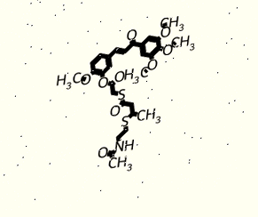 COc1ccc(/C=C/C(=O)c2cc(OC)c(OC)c(OC)c2)cc1OC(=O)CSC(=O)CC(C)SCCNC(C)=O